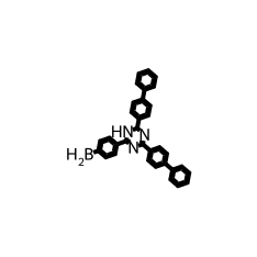 Bc1ccc(C2=NC(c3ccc(-c4ccccc4)cc3)=NC(c3ccc(-c4ccccc4)cc3)N2)cc1